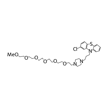 COCCOCCOCCOCCOCCOCCN1CCN(CCCN2c3ccccc3Sc3ccc(Cl)cc32)CC1